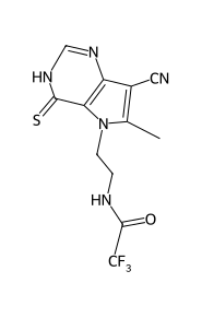 Cc1c(C#N)c2nc[nH]c(=S)c2n1CCNC(=O)C(F)(F)F